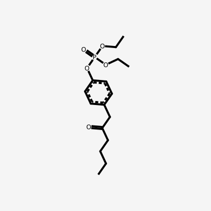 CCCCC(=O)Cc1ccc(OP(=O)(OCC)OCC)cc1